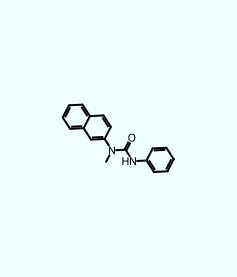 CN(C(=O)Nc1ccccc1)c1ccc2ccccc2c1